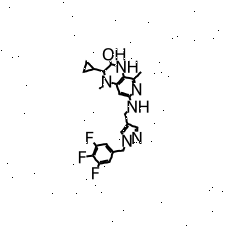 Cc1nc(NCc2cnn(Cc3cc(F)c(F)c(F)c3)c2)cc2c1NC(O)C(C1CC1)N2C